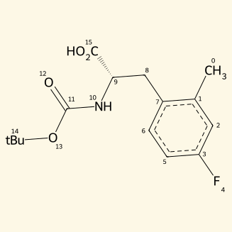 Cc1cc(F)ccc1C[C@H](NC(=O)OC(C)(C)C)C(=O)O